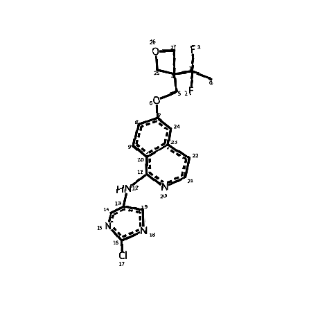 CC(F)(F)C1(COc2ccc3c(Nc4cnc(Cl)nc4)nccc3c2)COC1